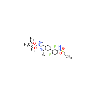 CCCS(=O)(=O)Nc1ccc(F)c(-c2ccc3c(c2)c(C2CC2)nc2c3cnn2C(=O)OC(C)(C)C)c1F